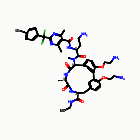 Cc1nc(C(F)(F)c2ccc(C(C)(C)C)cc2)nc(C)c1C(=O)N[C@@H](CCN)C(=O)N(C)[C@@H]1C(=O)N[C@@H](C)C(=O)N[C@H](C(=O)NCC#N)Cc2ccc(OCCN)c(c2)-c2cc1ccc2OCCN